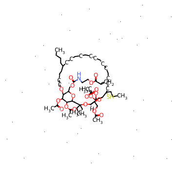 C=CC(=O)OCCNC(=O)OCC1OC2C(OC(C)=O)C(OC(C)=O)C1OCCCCC(CCCC)CCCCCCCCCCCCCCC(S)(CCC)C1OC(COC(C)=O)[C@@H](OC2(CC)CC)C(OC(C)=O)C1OC(C)=O